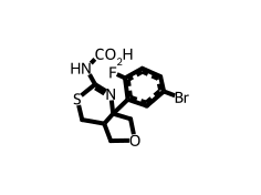 O=C(O)NC1=NC2(c3cc(Br)ccc3F)COCC2CS1